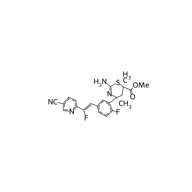 COC(=O)[C@@]1(C)C[C@@](C)(c2cc(/C=C(\F)c3ccc(C#N)cn3)ccc2F)N=C(N)S1